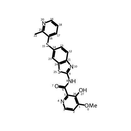 COc1ccnc(C(=O)Nc2nc3ccc(Sc4cccnc4C)cc3s2)c1O